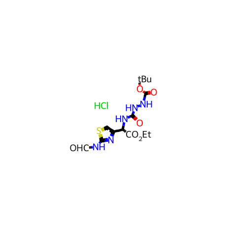 CCOC(=O)C(NC(=O)NNC(=O)OC(C)(C)C)c1csc(NC=O)n1.Cl